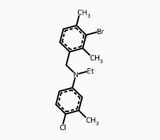 CCN(Cc1ccc(C)c(Br)c1C)c1ccc(Cl)c(C)c1